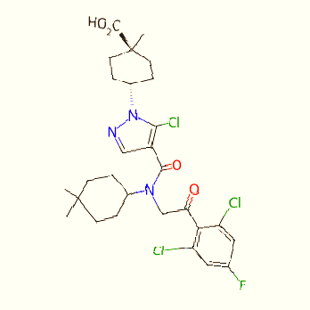 CC1(C)CCC(N(CC(=O)c2c(Cl)cc(F)cc2Cl)C(=O)c2cnn([C@H]3CC[C@](C)(C(=O)O)CC3)c2Cl)CC1